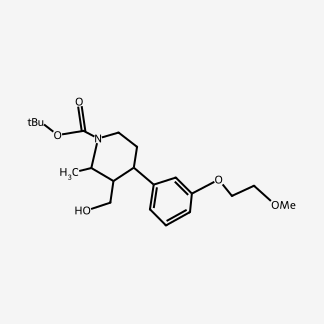 COCCOc1cccc(C2CCN(C(=O)OC(C)(C)C)C(C)C2CO)c1